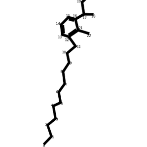 CCCCCCCCCCCCc1cccc([C](C)CC)c1C